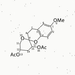 COc1ccc2c(c1)CCC1(OCC(OC(C)=O)CC1OC(C)=O)O2